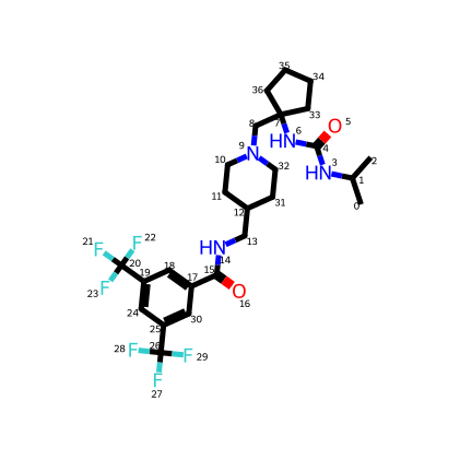 CC(C)NC(=O)NC1(CN2CCC(CNC(=O)c3cc(C(F)(F)F)cc(C(F)(F)F)c3)CC2)CCCC1